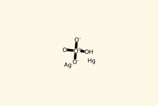 [Ag].[Hg].[O-][Cl+3]([O-])([O-])O